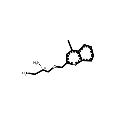 Cc1cc(COC[C@@H](N)CN)nc2ccccc12